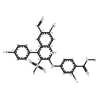 COC(=O)c1ccc(Oc2nc3cc(Br)c(C=O)cc3c(-c3ccc(F)cc3)c2S(C)(=O)=O)cc1F